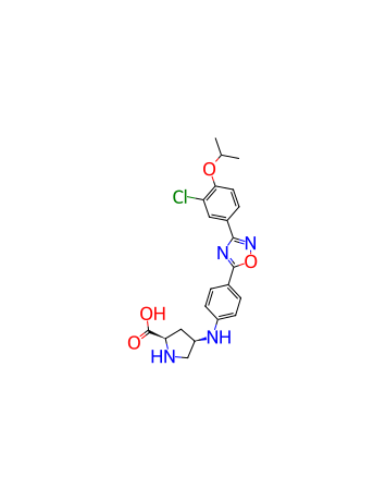 CC(C)Oc1ccc(-c2noc(-c3ccc(N[C@H]4CN[C@@H](C(=O)O)C4)cc3)n2)cc1Cl